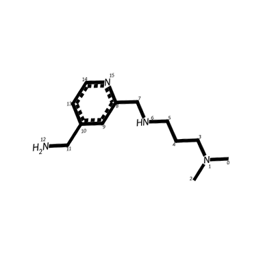 CN(C)CCCNCc1cc(CN)ccn1